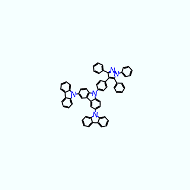 c1ccc(-c2nn(-c3ccccc3)c(-c3ccccc3)c2-c2ccc(-n3c4ccc(-n5c6ccccc6c6ccccc65)cc4c4cc(-n5c6ccccc6c6ccccc65)ccc43)cc2)cc1